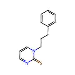 S=c1ncccn1CCCc1ccccc1